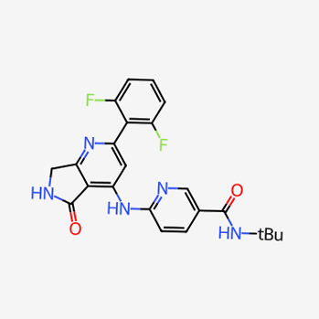 CC(C)(C)NC(=O)c1ccc(Nc2cc(-c3c(F)cccc3F)nc3c2C(=O)NC3)nc1